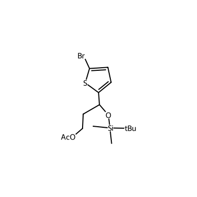 CC(=O)OCCC(O[Si](C)(C)C(C)(C)C)c1ccc(Br)s1